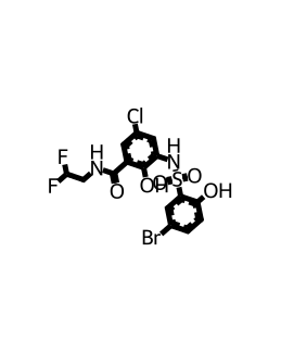 O=C(NCC(F)F)c1cc(Cl)cc(NS(=O)(=O)c2cc(Br)ccc2O)c1O